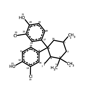 CC1CC(C)(C)C(I)C(c2ccc(O)c(Cl)c2)(c2ccc(O)c(Cl)c2)C1